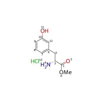 COC(=O)[C@H](N)Cc1cccc(O)c1.Cl